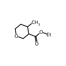 CCOC(=O)C1COCCC1C